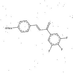 CCCCCCc1ccc(C=CC(=O)c2cc(F)c(F)c(F)c2)cc1